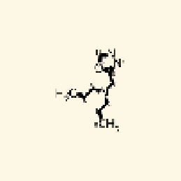 C=CCN(CC=C)Cc1nnco1